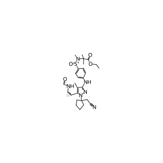 CCOC(=O)C(C)(C)N(C)[S+]([O-])c1ccc(Nc2nn(C3(CC#N)CCCC3)c(/C=C\NC=O)c2C)cc1